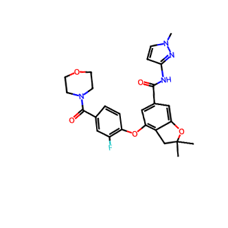 Cn1ccc(NC(=O)c2cc(Oc3ccc(C(=O)N4CCOCC4)cc3F)c3c(c2)OC(C)(C)C3)n1